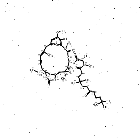 COc1cc2cc(c1Cl)N(C)C(=O)C[C@H](OC(=O)[C@H](C)N(C)C(=O)CCC(C)(C)SCC(=O)NCCC(C)(C)C)[C@]1(C)O[C@H]1[C@H](C)[C@@H]1C[C@@](O)(NC(=O)O1)[C@H](OC)/C=C/C=C(\C)C2